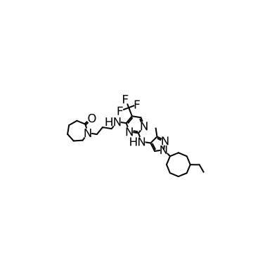 CCC1CCCCC(n2cc(Nc3ncc(C(F)(F)F)c(NCCCN4CCCCCC4=O)n3)c(C)n2)CC1